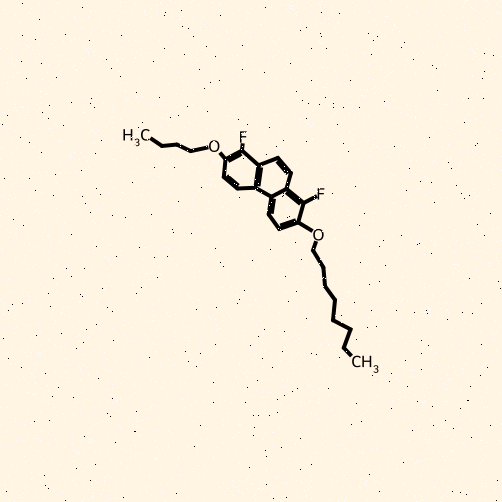 CCCCCCCCOc1ccc2c(ccc3c(F)c(OCCCC)ccc32)c1F